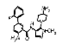 Cn1ncc(NC(=O)C2=NC(c3ccccc3F)CC=C2N)c1N1CCC(N)CC1